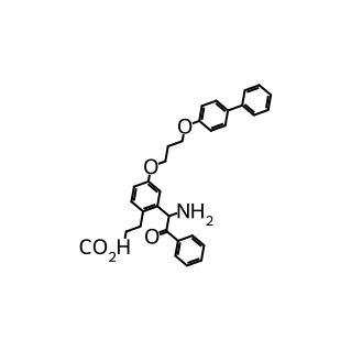 NC(C(=O)c1ccccc1)c1cc(OCCCOc2ccc(-c3ccccc3)cc2)ccc1CCC(=O)O